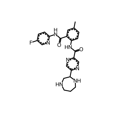 Cc1ccc(NC(=O)c2cnc(C3CNCCCN3)cn2)c(C(=O)Nc2ccc(F)cn2)c1